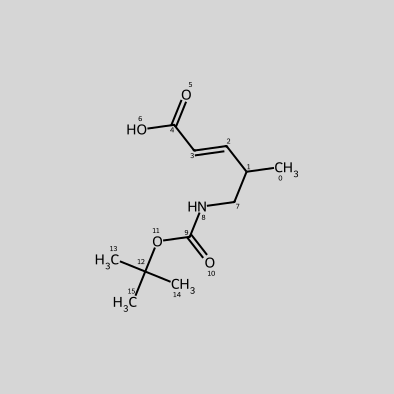 CC(C=CC(=O)O)CNC(=O)OC(C)(C)C